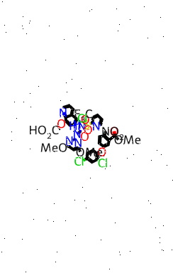 COC(=O)c1cc(Oc2ccc(Cl)cc2Cl)ccc1[N+](=O)[O-].COc1cc(OC)nc(NC(=O)NS(=O)(=O)c2ncccc2C(F)(F)F)n1.O=C(O)COc1ccc(Cl)c2cccnc12